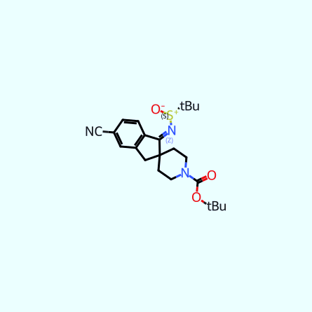 CC(C)(C)OC(=O)N1CCC2(CC1)Cc1cc(C#N)ccc1/C2=N\[S@+]([O-])C(C)(C)C